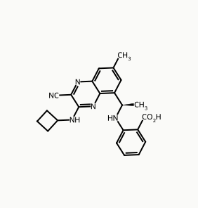 Cc1cc([C@@H](C)Nc2ccccc2C(=O)O)c2nc(NC3CCC3)c(C#N)nc2c1